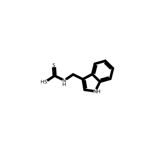 S=C(S)NCc1c[nH]c2ccccc12